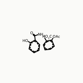 CC(=O)Oc1ccccc1C(=O)O.NC(=O)c1ccccc1O